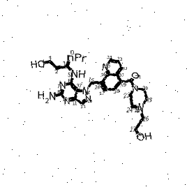 CCCC(CCO)Nc1nc(N)nc2cnn(Cc3ccc(C(=O)N4CCN(CCO)CC4)c4cccnc34)c12